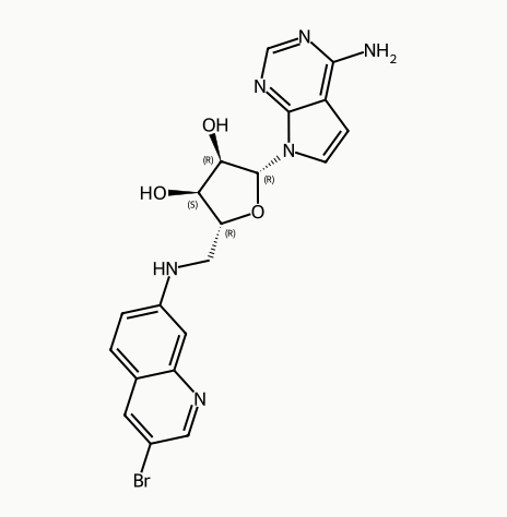 Nc1ncnc2c1ccn2[C@@H]1O[C@H](CNc2ccc3cc(Br)cnc3c2)[C@@H](O)[C@H]1O